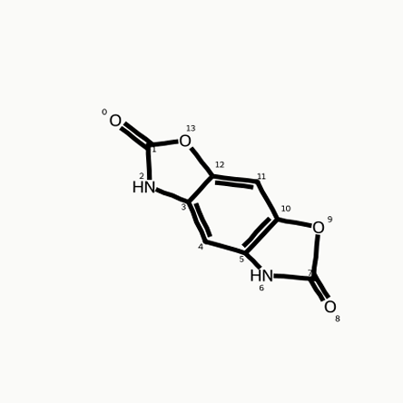 O=c1[nH]c2cc3[nH]c(=O)oc3cc2o1